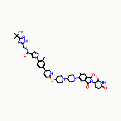 Cc1cc(-c2ccc(OC3CCN(C4CCN(c5cc6c(cc5F)C(=O)N(C5CCC(=O)NC5=O)C6=O)CC4)CC3)nc2)ccc1-n1cc(C(=O)NCc2nc(C(C)(C)C(F)(F)F)n[nH]2)cn1